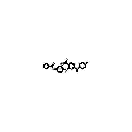 CN1CCC(N(C)c2ncc3c(n2)Nc2ccc(NC(=O)C4CCCC4)cc2NC3=O)CC1